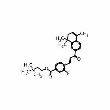 CC1=CCC(C)(C)c2cc(C(=O)C=Cc3ccc(C(=O)OCC[Si](C)(C)C)cc3F)ccc21